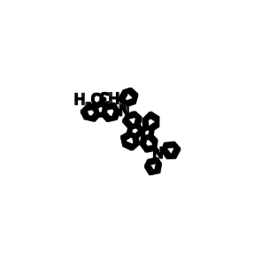 CC1(C)c2ccccc2-c2ccc(N(c3ccccc3)c3ccc4c(c3)-c3ccccc3C43c4ccccc4-c4cc(N(c5ccccc5)c5ccccc5)ccc43)cc21